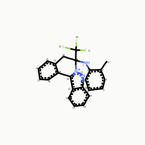 Cc1ccccc1NC1(C(F)(F)F)Cc2ccccc2-c2c3ccccc3nn21